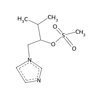 CC(C)C(Cn1ccnc1)OS(C)(=O)=O